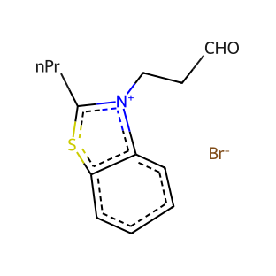 CCCc1sc2ccccc2[n+]1CCC=O.[Br-]